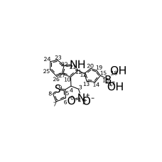 O=[N+]([O-])CC(c1cccs1)c1c(-c2ccc(B(O)O)cc2)[nH]c2ccccc12